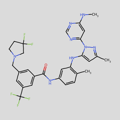 CNc1cc(-n2nc(C)cc2Nc2cc(NC(=O)c3cc(CN4CCC(F)(F)C4)cc(C(F)(F)F)c3)ccc2C)ncn1